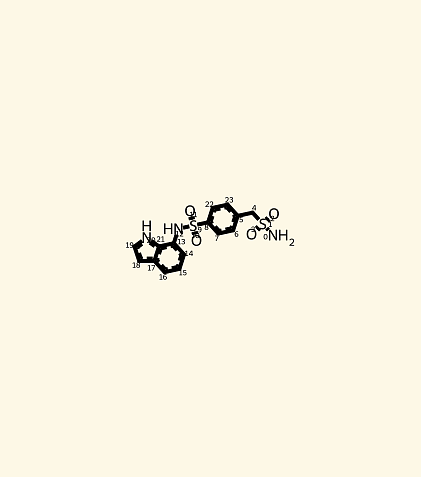 NS(=O)(=O)Cc1ccc(S(=O)(=O)Nc2cccc3cc[nH]c23)cc1